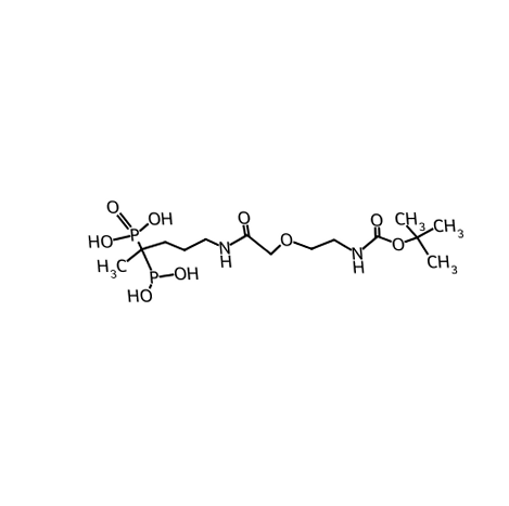 CC(C)(C)OC(=O)NCCOCC(=O)NCCCC(C)(P(O)O)P(=O)(O)O